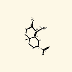 C=C(C)[C@@H]1CC[C@]2(C)CCC(=O)C(CCCC)=C2C1